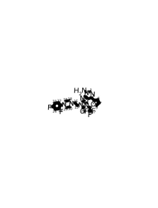 NN1CN=C(c2ccco2)c2c1nc1n(CCN3CCN(c4ccc(F)cc4F)CC3)c(=O)n(CC(F)(F)F)n21